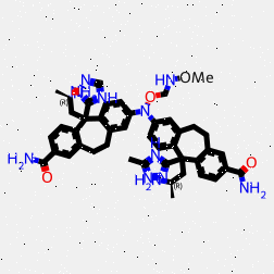 CONCON(c1ccc2c(c1)CCc1cc(C(N)=O)ccc1C2(C[C@@H](C)N)c1nnc[nH]1)c1ccc2c(c1)CCc1cc(C(N)=O)ccc1C2(C[C@@H](C)N)c1nnc(C)[nH]1